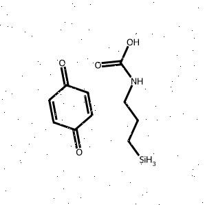 O=C(O)NCCC[SiH3].O=C1C=CC(=O)C=C1